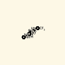 Cl.O=C(CN1C(=O)NC2(CCN(c3nc4ccccc4[nH]3)CC2)C1=O)Nc1ccc(C(F)(F)F)cc1